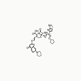 Nc1nc(/C(=N/OC2CCCC2)C(=O)NC2C(=O)N3C(C(=O)O)=C(/C=C/Sc4cc(=O)c5ccc(N6CCCCC6)cc5s4)CS[C@H]23)cs1